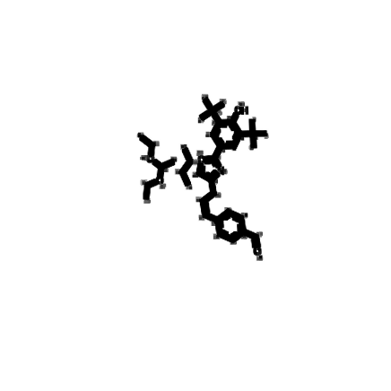 CC(C)(C)c1cc(-c2nc(C/C=C\c3ccc(C=O)cc3)co2)cc(C(C)(C)C)c1O.CCCC.CCOC(C)OCC